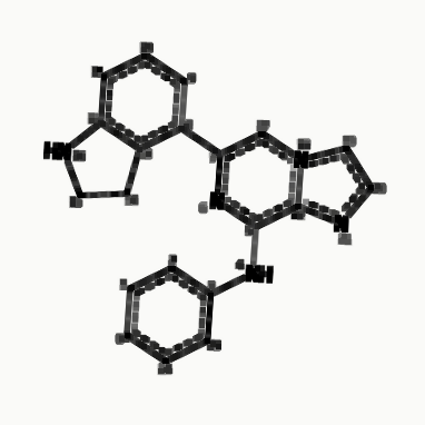 [c]1ccc(Nc2nc(-c3cccc4c3CCN4)cn3ccnc23)cc1